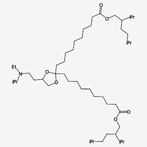 CCN(CCC1COC(CCCCCCCCCC(=O)OCC(CCC(C)C)C(C)C)(CCCCCCCCCC(=O)OCC(CCC(C)C)C(C)C)O1)C(C)C